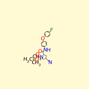 CC(C)(C)OC(=O)N1CC(C#N)CC1C(=O)Nc1ccc(Oc2ccc(F)cc2)cc1